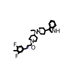 CCN(C1CCN(C(=O)/C=C/c2cc(F)c(C)c(F)c2)CC1)N1CCC(c2c[nH]c3ccccc23)CC1